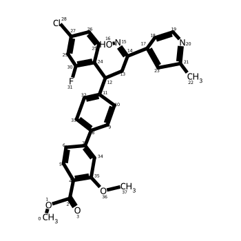 COC(=O)c1ccc(-c2ccc(C(C/C(=N\O)c3ccnc(C)c3)c3ccc(Cl)cc3F)cc2)cc1OC